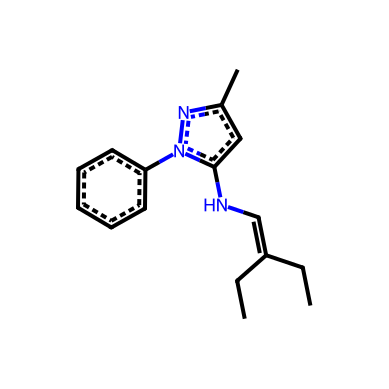 CCC(=CNc1cc(C)nn1-c1ccccc1)CC